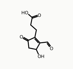 O=CC1=C(CCC(=O)O)C(=O)CC1O